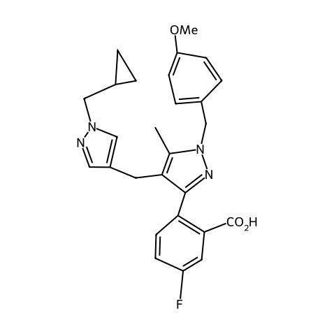 COc1ccc(Cn2nc(-c3ccc(F)cc3C(=O)O)c(Cc3cnn(CC4CC4)c3)c2C)cc1